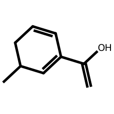 C=C(O)C1=CC(C)CC=C1